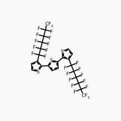 FC(F)(F)C(F)(F)C(F)(F)C(F)(F)C(F)(F)C(F)(F)c1ccsc1-c1ccc(-c2sccc2C(F)(F)C(F)(F)C(F)(F)C(F)(F)C(F)(F)C(F)(F)F)s1